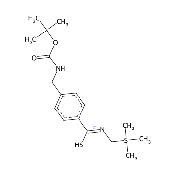 CC(C)(C)OC(=O)NCc1ccc(/C(S)=N/C[Si](C)(C)C)cc1